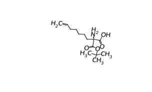 C=CCCCCC[C@](N)(C(=O)O)C(=O)OC(C)(C)C